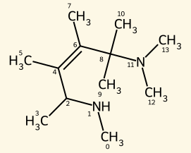 CNC(C)/C(C)=C(/C)C(C)(C)N(C)C